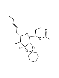 CC/C=C/C[C@@H]1O[C@@H]([C@@H](CC)OC(C)=O)C2OC3(CCCCC3)O[C@H]2[C@H]1C